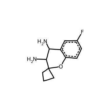 NC1c2cc(F)ccc2OC2(CCC2)C1N